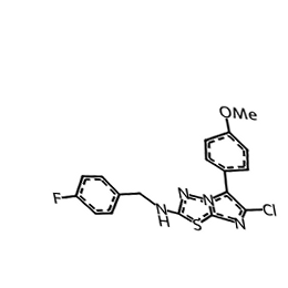 COc1ccc(-c2c(Cl)nc3sc(NCc4ccc(F)cc4)nn23)cc1